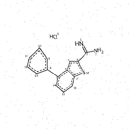 Cl.N=C(N)c1cc2c(-c3ccccc3)cccc2s1